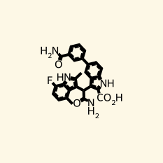 Cc1[nH]c2c(F)ccc(C)c2c1C(C(N)=O)c1c(C(=O)O)[nH]c2ccc(-c3cccc(C(N)=O)c3)cc12